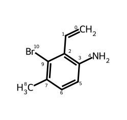 C=Cc1c(N)ccc(C)c1Br